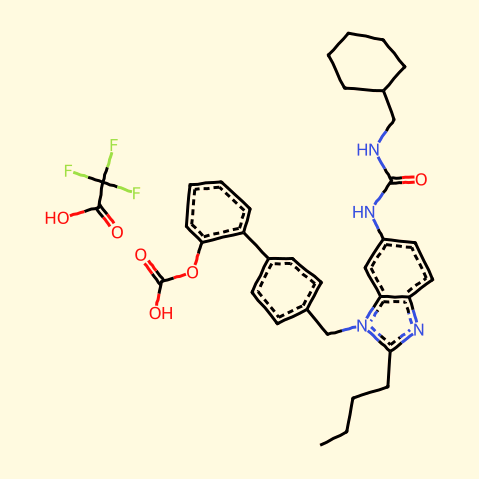 CCCCc1nc2ccc(NC(=O)NCC3CCCCC3)cc2n1Cc1ccc(-c2ccccc2OC(=O)O)cc1.O=C(O)C(F)(F)F